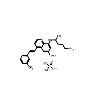 COc1cc(NC(C)CCCN)c2nccc(/C=C/c3cccc(C(F)(F)F)c3)c2c1.O=P(O)(O)O